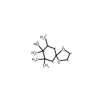 CC1CC2(CC(C)(C)C1(C)O)OCCO2